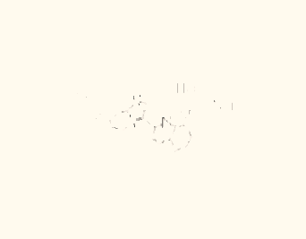 COCCOc1ccn2c(-c3ccc4cccc(O[C@@H]5CCNC[C@H]5O)c4n3)cnc2c1